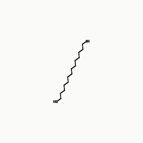 OCCCCCCCCCCCCCCS